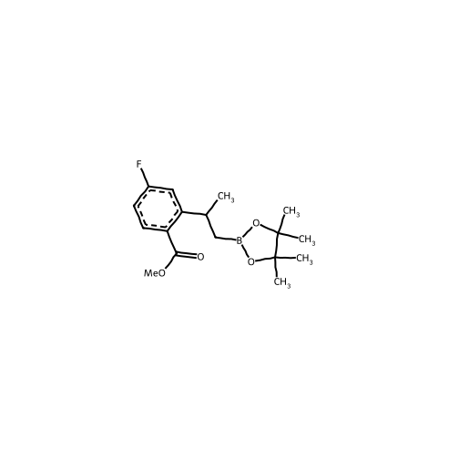 COC(=O)c1ccc(F)cc1C(C)CB1OC(C)(C)C(C)(C)O1